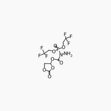 NN(C(=O)OC1COC(=O)O1)P(=O)(OCC(F)(F)F)OCC(F)(F)F